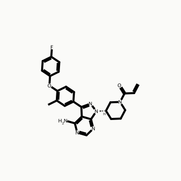 C=CC(=O)N1CCC[C@H](n2nc(-c3ccc(Oc4ccc(F)cc4)c(C)c3)c3c(N)ncnc32)C1